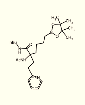 CCCCNC(=O)C(CCCCB1OC(C)(C)C(C)(C)O1)(CCc1ccccn1)NC(C)=O